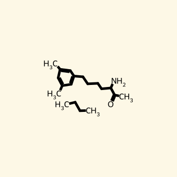 CC(=O)C(N)CCCCc1cc(C)cc(C)c1.CCCC